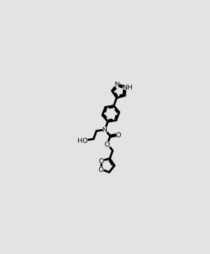 O=C(OCC1=CCOO1)N(CCO)c1ccc(-c2cn[nH]c2)cc1